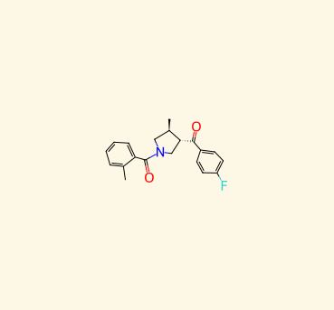 Cc1ccccc1C(=O)N1C[C@@H](C)[C@H](C(=O)c2ccc(F)cc2)C1